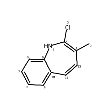 CC1=C(Cl)Nc2ccccc2C=C1